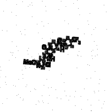 COc1cc(-c2cc(C(=O)N3CCC(C(=O)NC4CCC(C(F)(F)F)CC4)CC3)n[nH]2)c(Cl)cn1